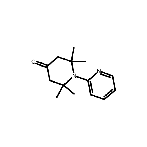 CC1(C)CC(=O)CC(C)(C)N1c1ccccn1